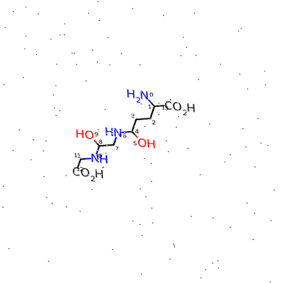 NC(CCC(O)NCC(O)NCC(=O)O)C(=O)O